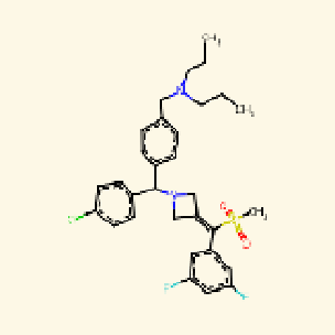 CCCN(CCC)Cc1ccc(C(c2ccc(Cl)cc2)N2CC(=C(c3cc(F)cc(F)c3)S(C)(=O)=O)C2)cc1